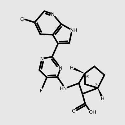 O=C(O)C1C(Nc2nc(-c3c[nH]c4ncc(Cl)cc34)ncc2F)[C@@H]2CC[C@H]1C2